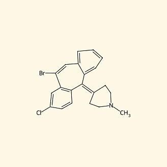 CN1CCC(=C2c3ccccc3C=C(Br)c3cc(Cl)ccc32)CC1